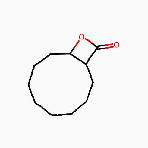 O=C1OC2CCCCCCCCC12